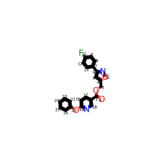 O=C(OCc1cc(-c2ccc(F)cc2)no1)c1ccc(Oc2ccccc2)nc1